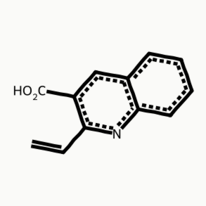 C=Cc1nc2ccccc2cc1C(=O)O